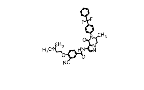 CC1Cn2ncc(NC(=O)c3ccc(OCCN(C)C)c(C#N)c3)c2C(=O)N1c1ccc(C(F)(F)c2ccccc2)cc1